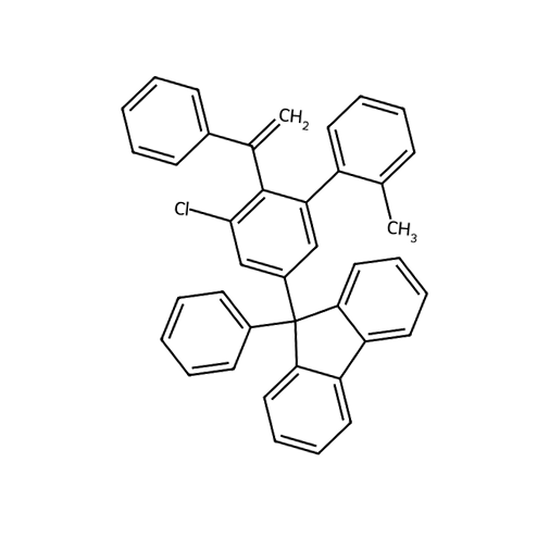 C=C(c1ccccc1)c1c(Cl)cc(C2(c3ccccc3)c3ccccc3-c3ccccc32)cc1-c1ccccc1C